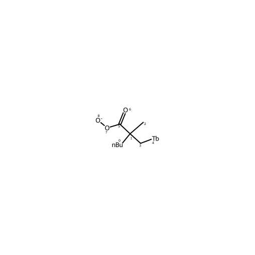 CCCCC(C)([CH2][Tb])C(=O)O[O-]